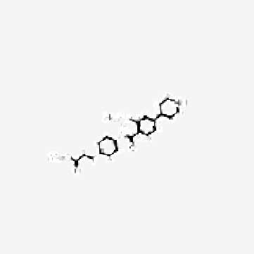 COC(=O)CC[C@H]1CC[C@H](NC(=O)c2ccc(C3CCNCC3)cc2C)CC1.Cl